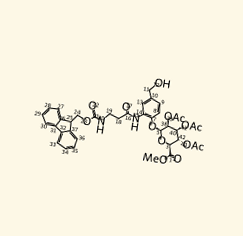 COC(=O)[C@H]1O[C@@H](Oc2ccc(CO)cc2NC(=O)CCNC(=O)OCC2c3ccccc3-c3ccccc32)[C@@H](OC(C)=O)[C@@H](OC(C)=O)[C@@H]1OC(C)=O